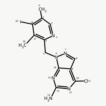 Cc1cnc(Cn2ncc3c(Cl)nc(N)nc32)c(C)c1I